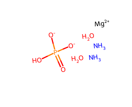 N.N.O.O.O=P([O-])([O-])O.[Mg+2]